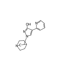 Oc1nn(C2CN3CCC2CC3)cc1-c1ccccn1